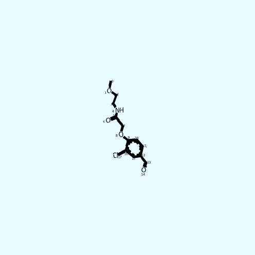 COCCNC(=O)COc1ccc(C=O)cc1Cl